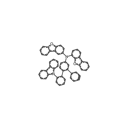 c1ccc(-c2cc(N(c3ccc4oc5ccccc5c4c3)c3cccc4c3oc3ccccc34)ccc2-c2ccccc2-n2c3ccccc3c3ccccc32)cc#1